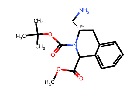 COC(=O)C1c2ccccc2C[C@@H](CN)N1C(=O)OC(C)(C)C